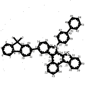 CC1(C)c2ccccc2-c2ccc(-c3ccc4c(c3)c3c5ccccc5c5c6ccccc6sc5c3n4-c3ccc(-c4ccccc4)cc3)cc21